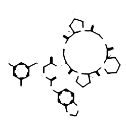 C[C@H]1C[C@H]2C(=O)OC[C@H](NC(=O)[C@H](Cc3cc(F)cc(F)c3)NC(=O)Nc3ccc4c(c3)OCO4)C(=O)N3CCC[C@H]3C(=O)N3CCCC[C@H]3C(=O)N[C@@H](C)C(=O)N2C1